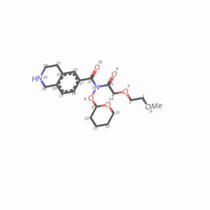 COCCOCC(=O)N(OC1CCCCO1)C(=O)c1ccc2c(c1)CCNC2